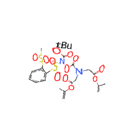 C=C(C)OC(=O)CN(CC(=O)OC(=C)C)C(=O)ON(C(=O)OC(C)(C)C)S(=O)(=O)c1ccccc1S(C)(=O)=O